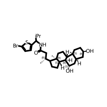 CC(C)C(NC(=O)C[C@@H](C)C1CC[C@H]2[C@@H]3[C@@H](O)C[C@@H]4C[C@H](O)CC[C@]4(C)[C@H]3CC[C@]12C)c1ccc(Br)s1